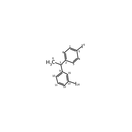 C[C](c1ccc(I)cc1)c1cccc(I)c1